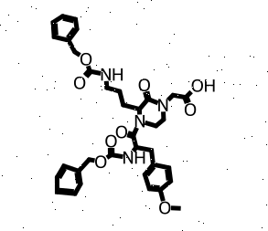 COc1ccc(CC(NC(=O)OCc2ccccc2)C(=O)N2CCN(CC(=O)O)C(=O)C2CCCNC(=O)OCc2ccccc2)cc1